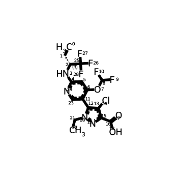 CC[C@@H](Nc1cc(OC(F)F)c(-c2c(Cl)c(C(=O)O)nn2CC)cn1)C(F)(F)F